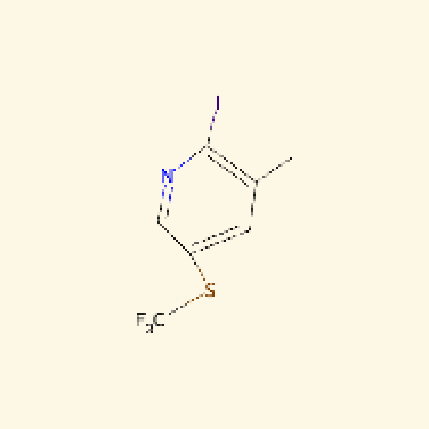 Cc1cc(SC(F)(F)F)cnc1I